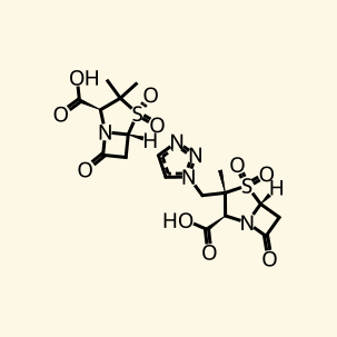 CC1(C)[C@H](C(=O)O)N2C(=O)C[C@H]2S1(=O)=O.C[C@]1(Cn2ccnn2)[C@H](C(=O)O)N2C(=O)C[C@H]2S1(=O)=O